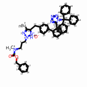 CCCCC1=NN(CCCN(C)C(=O)OCc2ccccc2)[NH+]([O-])C1Cc1ccc(-c2ccccc2-c2nnnn2C(c2ccccc2)(c2ccccc2)c2ccccc2)cc1